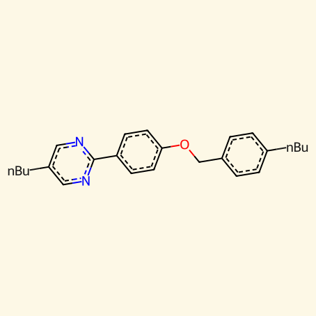 CCCCc1ccc(COc2ccc(-c3ncc(CCCC)cn3)cc2)cc1